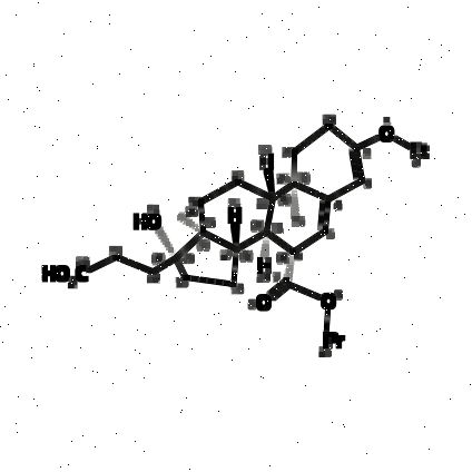 CCOC1=CC2=C[C@H](C(=O)OC(C)C)[C@@H]3[C@H](CC[C@@]4(C)[C@H]3CC[C@@]4(O)CCC(=O)O)[C@@]2(C)CC1